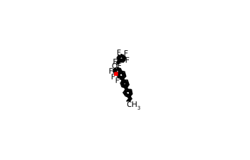 CCCC1CCC(c2ccc(-c3ccc4cc(OC(F)(F)c5cc(F)c(F)c(F)c5)c(F)c(F)c4c3F)cc2)CC1